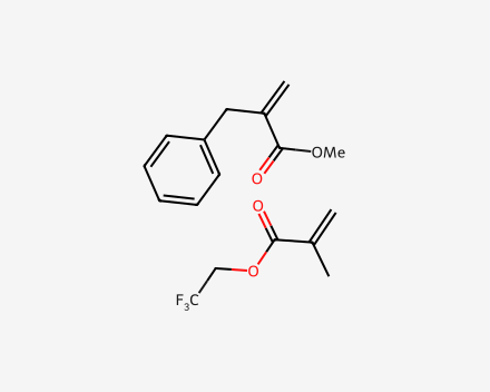 C=C(C)C(=O)OCC(F)(F)F.C=C(Cc1ccccc1)C(=O)OC